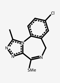 CSC1=NCc2cc(Cl)ccc2-n2c(C)nnc21